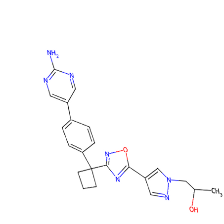 CC(O)Cn1cc(-c2nc(C3(c4ccc(-c5cnc(N)nc5)cc4)CCC3)no2)cn1